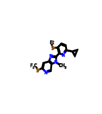 CCSc1ccc(C2CC2)nc1-c1nc2cc(SC(F)(F)F)ncc2n1C